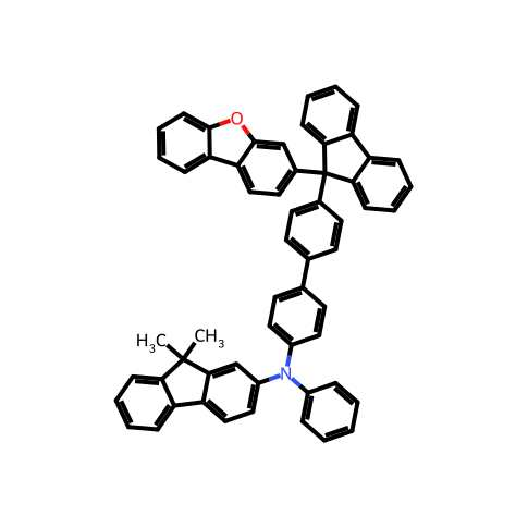 CC1(C)c2ccccc2-c2ccc(N(c3ccccc3)c3ccc(-c4ccc(C5(c6ccc7c(c6)oc6ccccc67)c6ccccc6-c6ccccc65)cc4)cc3)cc21